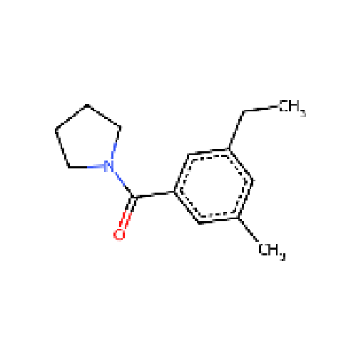 CCc1cc(C)cc(C(=O)N2CCCC2)c1